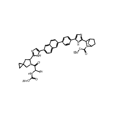 COC(=O)NC(C(=O)N1CC2(CC2)CC1c1ncc(-c2ccc3cc(-c4ccc(-c5cnc(C6C7CCC(C7)N6C(=O)OC(C)(C)C)[nH]5)cc4)ccc3c2)[nH]1)C(C)C